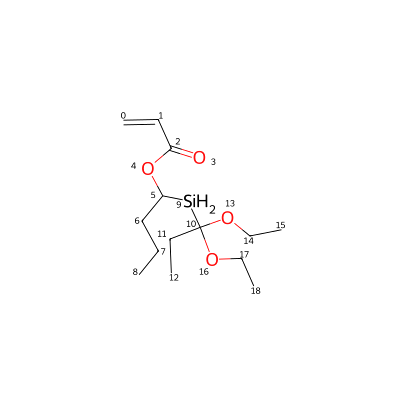 C=CC(=O)OC(CCC)[SiH2]C(CC)(OCC)OCC